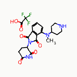 CN(c1cccc2c1C(=O)N(C1CCC(=O)NC1=O)C2=O)C1CCNCC1.O=C(O)C(F)(F)F